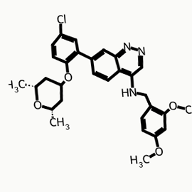 COc1ccc(CNc2cnnc3cc(-c4cc(Cl)ccc4OC4C[C@@H](C)O[C@@H](C)C4)ccc23)c(OC)c1